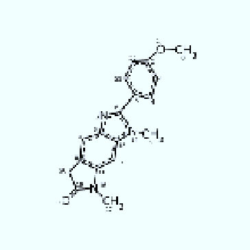 COc1ccc(-c2nc3cc4c(cc3n2C)N(C)C(=O)C4)cc1